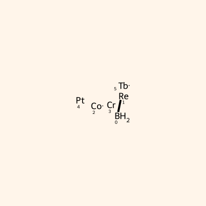 [BH2][Re].[Co].[Cr].[Pt].[Tb]